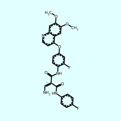 COc1cc2nccc(Oc3ccc(NC(=O)/C(=C/N)C(=O)Nc4ccc(F)cc4)c(F)c3)c2cc1OC